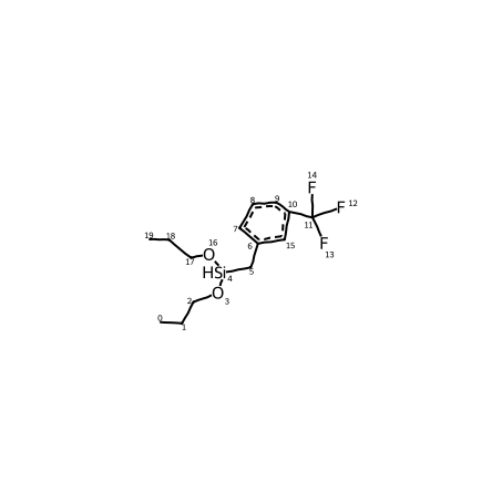 CCCO[SiH](Cc1cccc(C(F)(F)F)c1)OCCC